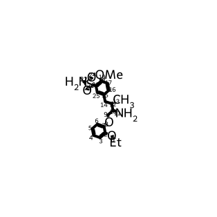 CCOc1ccccc1OCC(N)C(C)Cc1ccc(OC)c(S(N)(=O)=O)c1